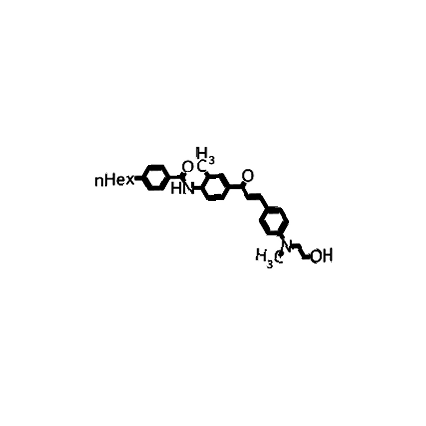 CCCCCCc1ccc(C(=O)NC2C=CC(C(=O)/C=C/c3ccc(N(C)CCO)cc3)=CC2C)cc1